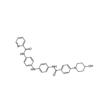 O=C(Nc1ccc(Nc2ccc(NC(=O)c3ccccn3)cc2)cc1)c1ccc(N2CCC(O)CC2)cc1